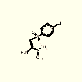 CN(C)C(N)=CS(=O)(=O)c1ccc(Cl)cc1